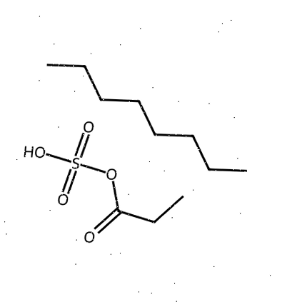 CCC(=O)OS(=O)(=O)O.CCCCCCCC